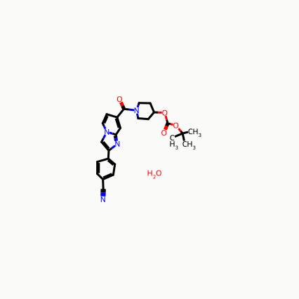 CC(C)(C)OC(=O)OC1CCN(C(=O)c2ccn3cc(-c4ccc(C#N)cc4)nc3c2)CC1.O